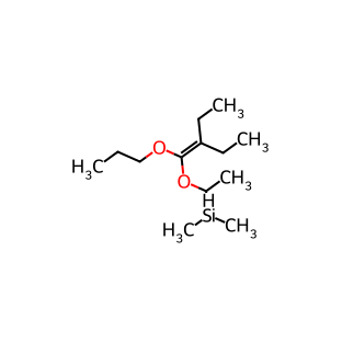 CCCOC(OC(C)[SiH](C)C)=C(CC)CC